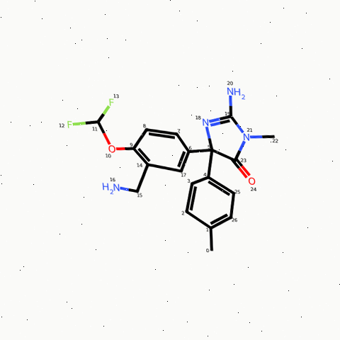 Cc1ccc(C2(c3ccc(OC(F)F)c(CN)c3)N=C(N)N(C)C2=O)cc1